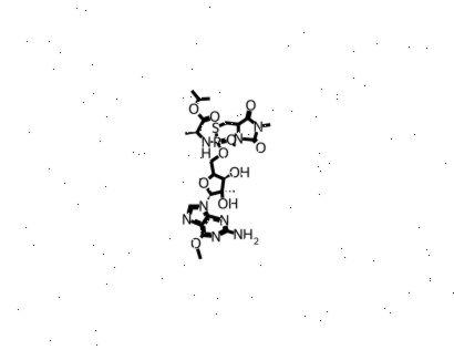 COc1nc(N)nc2c1ncn2[C@@H]1OC(CO[P@@](=O)(N[C@@H](C)C(=O)OC(C)C)SCC2C(=O)N(C)C(=O)N2C)[C@@H](O)[C@@]1(C)O